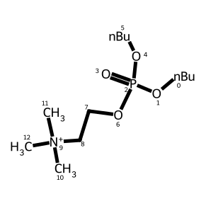 CCCCOP(=O)(OCCCC)OCC[N+](C)(C)C